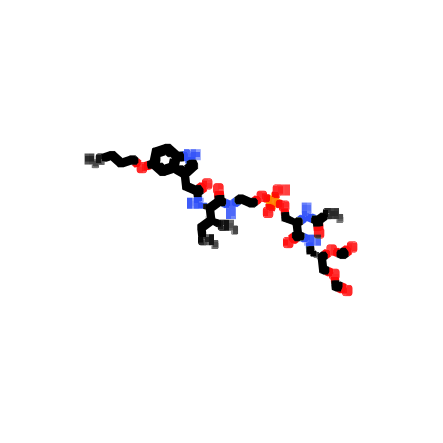 CCCCOc1ccc2[nH]cc(CC(=O)N[C@H](C(=O)NCCOP(=O)(O)OC[C@@H](NC(C)=O)C(=O)NC[C@@H](COC=O)OC=O)[C@@H](C)CC)c2c1